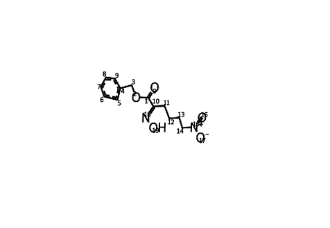 O=C(OCc1ccccc1)C(CCCC[N+](=O)[O-])=NO